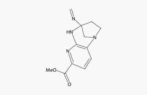 C=NC12CCN(C1)c1ccc(C(=O)OC)nc1N2